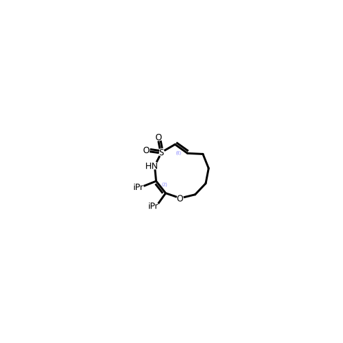 CC(C)/C1=C(\C(C)C)OCCCC/C=C/S(=O)(=O)N1